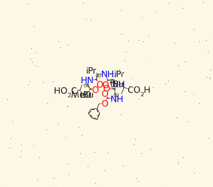 COC(=O)[C@H](CC(C(=O)O)C(C)(C)C)NC(=O)[C@@H](NC(=O)[C@@H](NC(=O)[C@H](CC(C(=O)O)C(C)(C)C)NC(=O)OCc1ccccc1)C(C)C)C(C)C